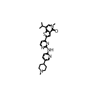 CC(C)c1cn(C)c(=O)c2cc(-c3ccnc(Nc4ccc(C5CCN(C)CC5)cn4)n3)sc12